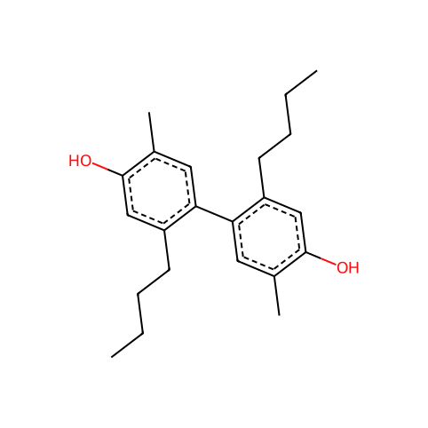 CCCCc1cc(O)c(C)cc1-c1cc(C)c(O)cc1CCCC